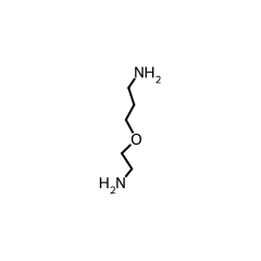 NCCCOCCN